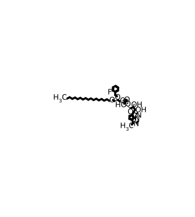 CCCCCCCCCCCCCCCCCCOC[C@H](COP(=O)(O)OC[C@H]1O[C@@](C#N)(c2ccc3c(C)ncnn23)[C@H](O)[C@@H]1O)OCc1ccccc1F